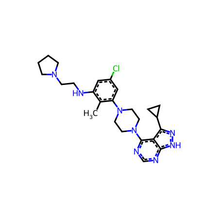 Cc1c(NCCN2CCCC2)cc(Cl)cc1N1CCN(c2ncnc3[nH]nc(C4CC4)c23)CC1